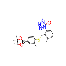 Cc1cc(B2OC(C)(C)C(C)(C)O2)ccc1SCc1c(C)cccc1-n1nnn(C)c1=O